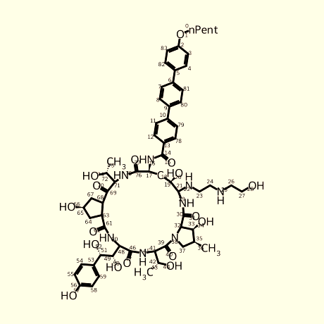 CCCCCOc1ccc(-c2ccc(-c3ccc(C(=O)N[C@H]4C[C@@H](O)C(NCCNCCO)NC(=O)C5[C@@H](O)[C@@H](C)CN5C(=O)C([C@@H](C)O)NC(=O)C([C@H](O)[C@@H](O)c5ccc(O)cc5)NC(=O)C5C[C@@H](O)CC5C(=O)C([C@@H](C)O)NC4=O)cc3)cc2)cc1